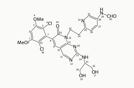 COc1cc(OC)c(Cl)c(-c2cc3cnc(NC(CO)CO)nc3n(CCc3ccc(NC=O)cn3)c2=O)c1Cl